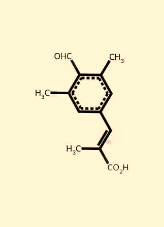 C/C(=C\c1cc(C)c(C=O)c(C)c1)C(=O)O